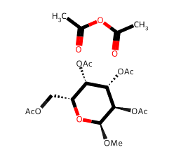 CC(=O)OC(C)=O.CO[C@H]1O[C@H](COC(C)=O)[C@H](OC(C)=O)[C@H](OC(C)=O)[C@H]1OC(C)=O